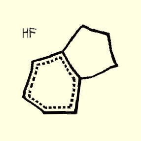 F.c1ccc2c(c1)CCC2